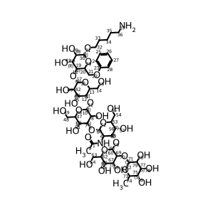 CC(=O)NC1[C@H](O[C@@H]2C(O)[C@@H](O[C@H]3C(CO)O[C@@H](O[C@@H]4C(COc5ccccc5)O[C@@H](OCCCCCN)C(O)[C@H]4O)C(O)[C@H]3O)OC(CO)[C@@H]2O)OC(CO)[C@H](O)[C@@H]1O[C@@H]1OC(CO)[C@H](O)[C@H](O)C1O[C@@H]1OC(C)[C@@H](O)[C@H](O)C1O